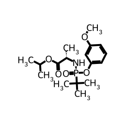 COc1cccc(O[P@](=O)(N[C@@H](C)C(=O)OC(C)C)C(C)(C)C)c1